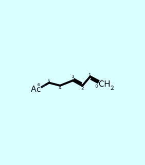 C=C/C=C/CCC(C)=O